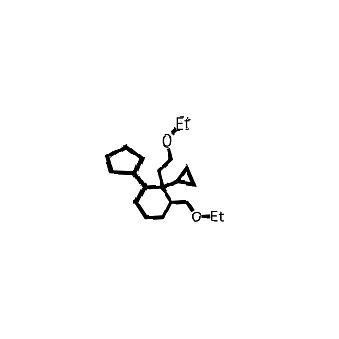 CCOCCC1(C2CC2)[C](C2CCCC2)CCCC1COCC